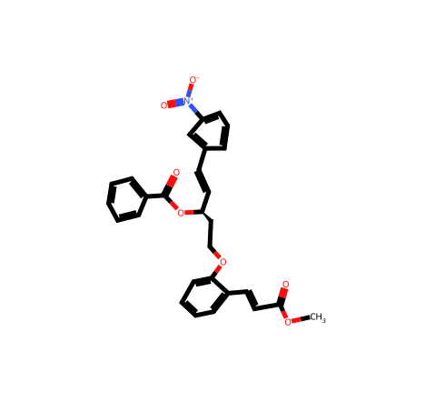 COC(=O)/C=C/c1ccccc1OCC[C@H](/C=C/c1cccc([N+](=O)[O-])c1)OC(=O)c1ccccc1